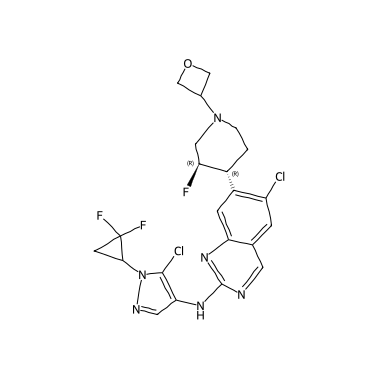 F[C@H]1CN(C2COC2)CC[C@@H]1c1cc2nc(Nc3cnn(C4CC4(F)F)c3Cl)ncc2cc1Cl